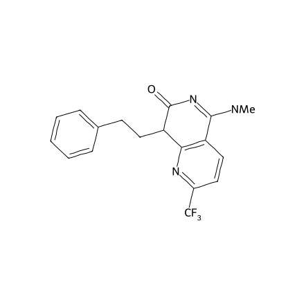 CNC1=NC(=O)C(CCc2ccccc2)c2nc(C(F)(F)F)ccc21